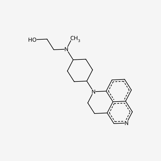 CN(CCO)C1CCC(N2CCc3cncc4cccc2c34)CC1